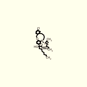 C=CCCCCCC(O)(C(=O)OC)c1ccc2c(c1)N(C[C@H]1[C@H]([C@@H](O)C=C)C[C@H]1C)CCCCc1cc(Cl)ccc1CO2